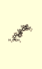 CN(C)c1ccc2c(c1)N(c1nccn3nc(Nc4ccc5c(c4)NC(=O)C5(C)C)nc13)CC2